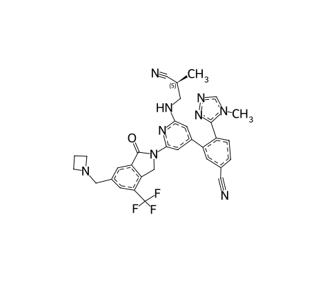 C[C@H](C#N)CNc1cc(-c2cc(C#N)ccc2-c2nncn2C)cc(N2Cc3c(cc(CN4CCC4)cc3C(F)(F)F)C2=O)n1